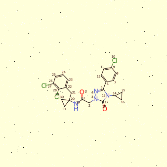 O=C(Cn1nc(-c2ccc(Cl)cc2)n(C2CC2)c1=O)NC1(Cc2cccc(Cl)c2Cl)CC1